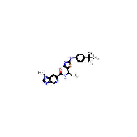 CC(NC(=O)c1cc2c(cn1)ncn2C)c1cnc(Nc2ccc(C(C)(C)C(F)(F)F)cc2)s1